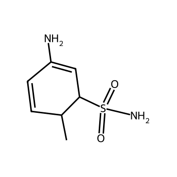 CC1C=CC(N)=CC1S(N)(=O)=O